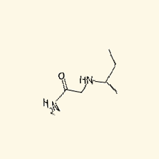 CCC(C)NCC(N)=O